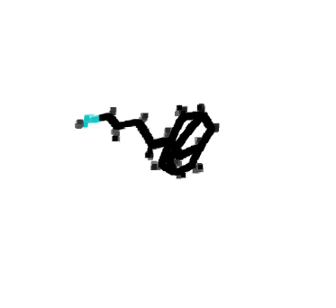 FCCCCC12CC3CC(CC(C3)C1)C2